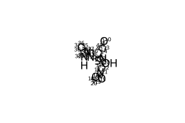 COc1ccc(-c2nc(C3(O)CCN(C(=O)OC(C)(C)C)CC3)sc2-c2ccnc(N[C@@H](C)c3ccccc3)n2)cc1